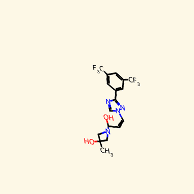 CC1(O)CN(C(O)/C=C\n2cnc(-c3cc(C(F)(F)F)cc(C(F)(F)F)c3)n2)C1